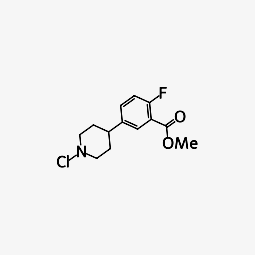 COC(=O)c1cc(C2CCN(Cl)CC2)ccc1F